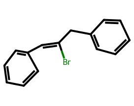 BrC(=Cc1ccccc1)Cc1ccccc1